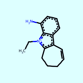 CCn1c2c(c3cccc(N)c31)C=CCCC2